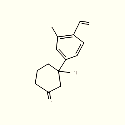 C=Cc1ccc(C2(C#N)CCCC(=O)C2)cc1Cl